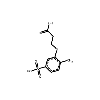 Cc1ccc(S(=O)(=O)O)cc1SCCC(=O)O